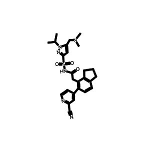 CC(C)n1nc(S(=O)(=O)NC(=O)Cc2c(-c3ccnc(C#N)c3)ccc3c2CCC3)cc1CN(C)C